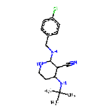 CC(C)(C)NC1CCNC(NCc2ccc(Cl)cc2)C1C#N